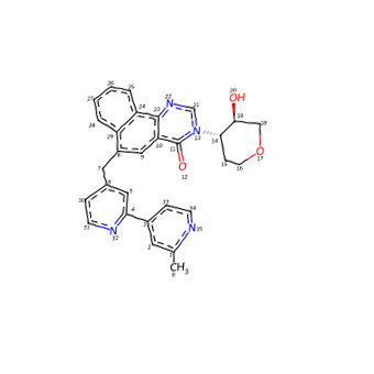 Cc1cc(-c2cc(Cc3cc4c(=O)n([C@H]5CCOC[C@@H]5O)cnc4c4ccccc34)ccn2)ccn1